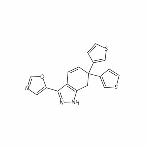 C1=CC(c2ccsc2)(c2ccsc2)Cc2[nH]nc(-c3cnco3)c21